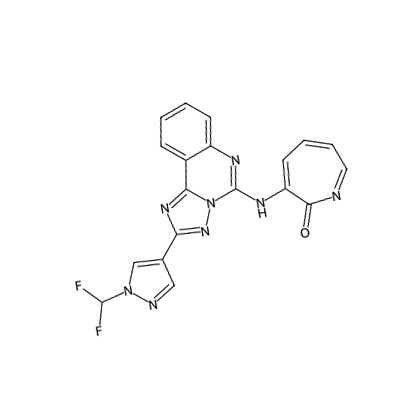 O=c1nccccc1Nc1nc2ccccc2c2nc(-c3cnn(C(F)F)c3)nn12